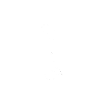 OC(CN1CC=C(c2c[nH]c3ccccc23)CC1)C1COc2ccccc2O1